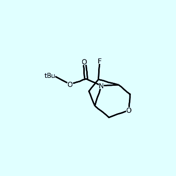 CC(C)(C)OC(=O)N1C2COCC1C(F)C2